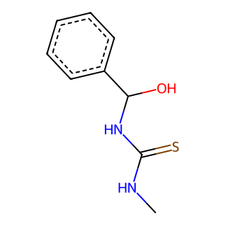 CNC(=S)NC(O)c1ccccc1